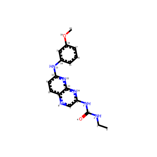 CCNC(=O)Nc1cnc2ccc(Nc3cccc(OC)c3)nc2n1